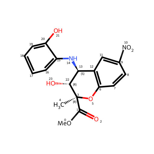 COC(=O)[C@]1(C)Oc2ccc([N+](=O)[O-])cc2[C@H](Nc2ccccc2O)[C@H]1O